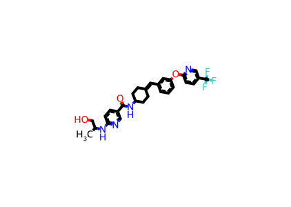 CC(CO)Nc1ccc(C(=O)NC2CCC(=Cc3cccc(Oc4ccc(C(F)(F)F)cn4)c3)CC2)cn1